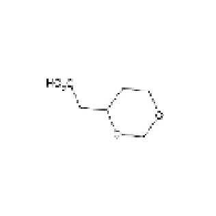 O=C(O)CC1CCOCO1